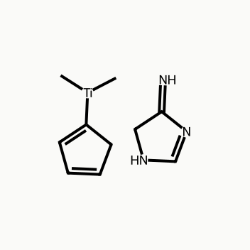 N=C1CNC=N1.[CH3][Ti]([CH3])[C]1=CC=CC1